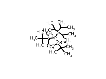 CC(C)S(C(C)C)(C(C)C)P(S(C)(C)C(C)(C)C)S(C)(C)C(C)(C)C